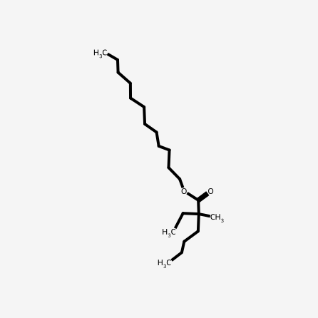 CCCCCCCCCCCCOC(=O)C(C)(CC)CCCC